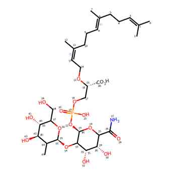 CC(C)=CCC/C(C)=C/CC/C(C)=C\CO[C@@H](COP(=O)(O)O[C@H]1OC(C(N)=O)[C@H](O)[C@H](O)C1O[C@@H]1OC(CO)[C@@H](O)[C@H](O)C1C)C(=O)O